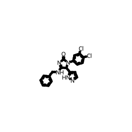 O=C1N=C(NCc2ccccc2)C(c2ccn[nH]2)N1c1ccc(Cl)c(Cl)c1